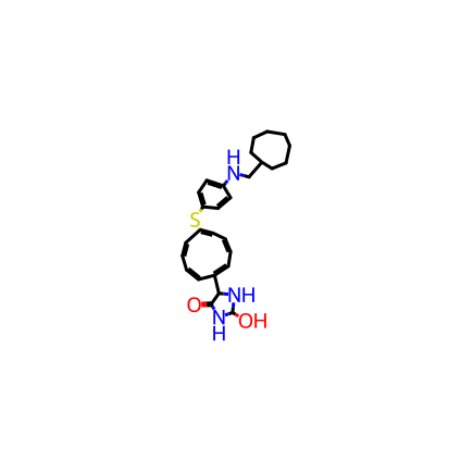 O=C1NC(O)NC1c1ccccc(Sc2ccc(NCC3CCCCCCC3)cc2)cccc1